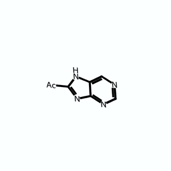 CC(=O)c1nc2ncncc2[nH]1